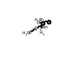 COCCC=NOCCc1c(C)[nH]c2cc(Cc3ccccc3)c(OC)c(Cl)c12